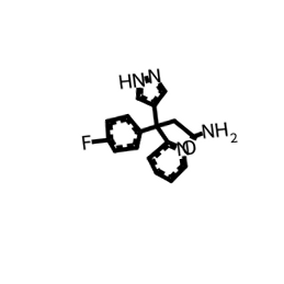 NC(=O)CC(c1ccc(F)cc1)(c1cn[nH]c1)c1ccccn1